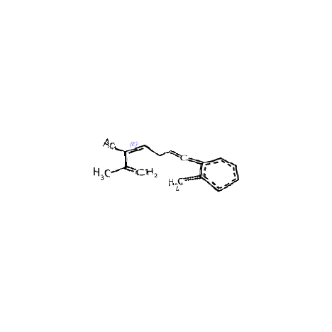 C=C(C)/C(=C\CC=C=c1ccccc1=C)C(C)=O